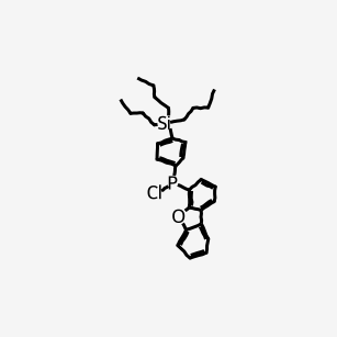 CCCC[Si](CCCC)(CCCC)c1ccc(P(Cl)c2cccc3c2oc2ccccc23)cc1